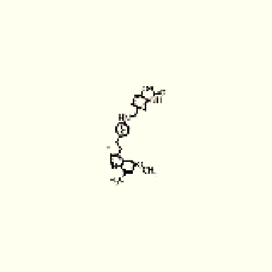 COc1cc(C)c2ncc(F)c(CCC34CCC(NCc5ccc6c(n5)NC(=O)CO6)(CC3)CO4)c2c1